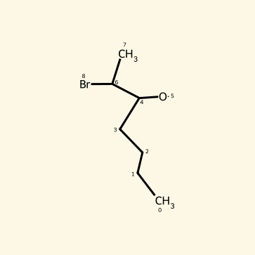 CCCCC([O])C(C)Br